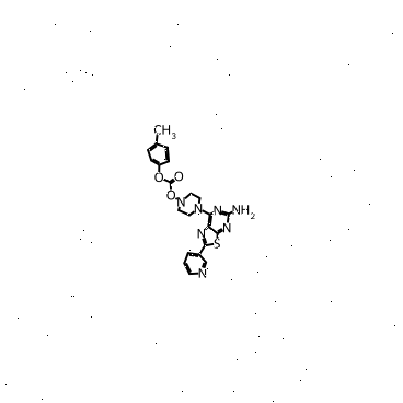 Cc1ccc(OC(=O)ON2CCN(c3nc(N)nc4sc(-c5cccnc5)nc34)CC2)cc1